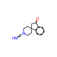 N=BN1CCC2(CC1)CC(=O)c1ccccc12